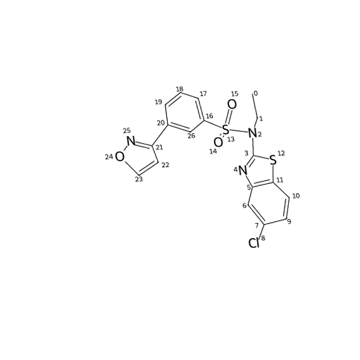 CCN(c1nc2cc(Cl)ccc2s1)S(=O)(=O)c1cccc(-c2ccon2)c1